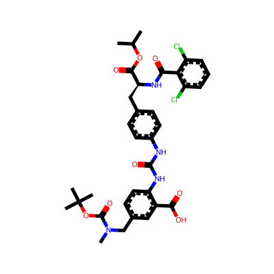 CC(C)OC(=O)[C@H](Cc1ccc(NC(=O)Nc2ccc(CN(C)C(=O)OC(C)(C)C)cc2C(=O)O)cc1)NC(=O)c1c(Cl)cccc1Cl